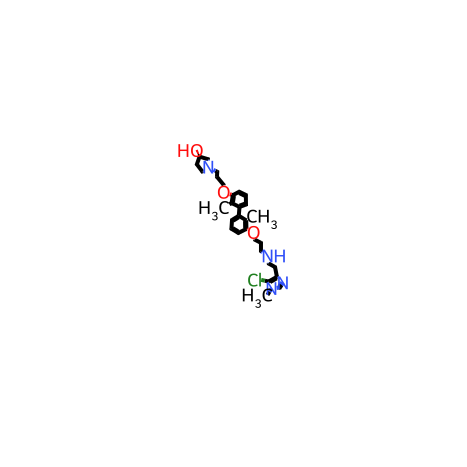 Cc1c(OCCCNCCc2ncn(C)c2Cl)cccc1-c1cccc(OCCCN2CC[C@@H](O)C2)c1C